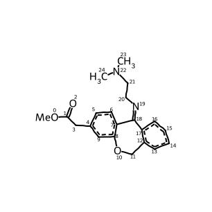 COC(=O)Cc1ccc2c(c1)OCc1ccccc1/C2=N/CCN(C)C